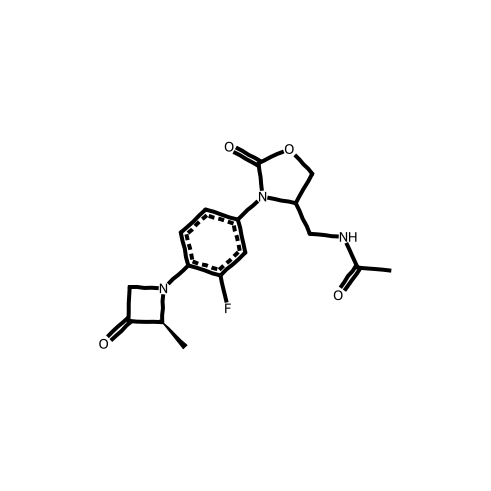 CC(=O)NCC1COC(=O)N1c1ccc(N2CC(=O)[C@@H]2C)c(F)c1